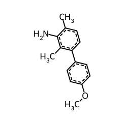 COc1ccc(-c2ccc(C)c(N)c2C)cc1